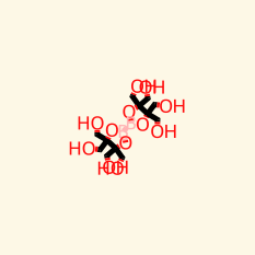 OCC1(CO)OB(B2OC(CO)(CO)C(CO)(CO)O2)OC1(CO)CO